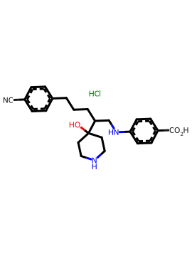 Cl.N#Cc1ccc(CCCC(CNc2ccc(C(=O)O)cc2)C2(O)CCNCC2)cc1